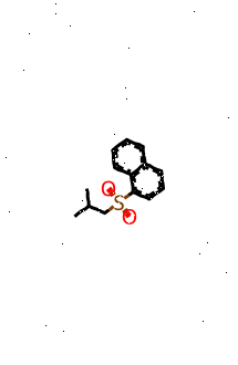 CC(C)CS(=O)(=O)c1cccc2ccccc12